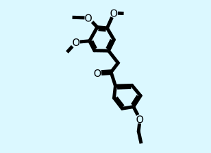 CCOc1ccc(C(=O)Cc2cc(OC)c(OC)c(OC)c2)cc1